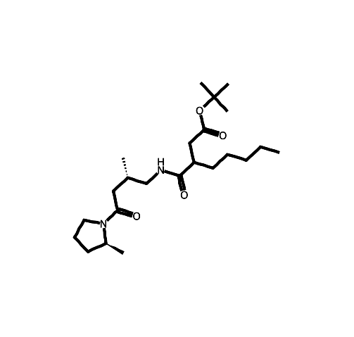 CCCCCC(CC(=O)OC(C)(C)C)C(=O)NC[C@@H](C)CC(=O)N1CCC[C@@H]1C